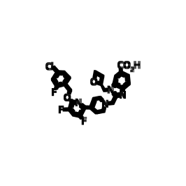 O=C(O)c1ccc2nc(CN3CC=C(c4nc(OCc5ccc(Cl)cc5F)c(F)cc4F)CC3)n(C[C@@H]3CCO3)c2c1